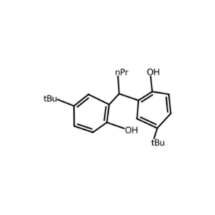 CCCC(c1cc(C(C)(C)C)ccc1O)c1cc(C(C)(C)C)ccc1O